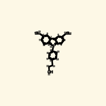 CC(C)(C)c1ccc2c(c1)c1cc(C(C)(C)C)ccc1[s+]2-c1ccc(CCO)cc1